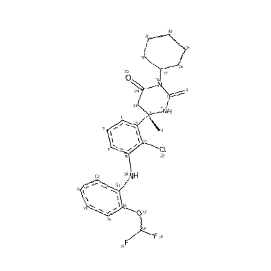 C=C1N[C@](C)(c2cccc(Nc3ccccc3OC(F)F)c2Cl)CC(=O)N1C1CCCCC1